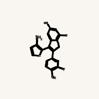 Nc1ccoc1C1=C(c2ccc(O)c(F)c2)Cc2c(F)cc(O)cc21